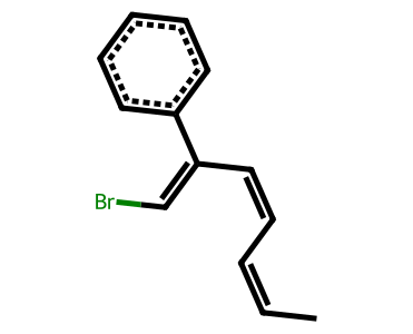 C\C=C/C=C\C(=C\Br)c1ccccc1